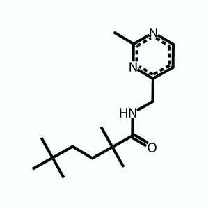 Cc1nccc(CNC(=O)C(C)(C)CCC(C)(C)C)n1